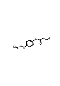 O=C(CCI)Oc1ccc(SOOO)cc1